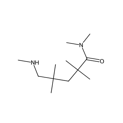 CNCC(C)(C)CC(C)(C)C(=O)N(C)C